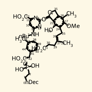 CCCCCCCCCCCCP(=O)(O)O.CCCCNc1cc(C(=O)O)ncn1.COc1c(C)c2c(c(O)c1C/C=C(\C)CCC(=O)O)C(=O)OC2.Cc1cccc(CC(=O)O)c1